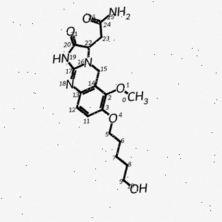 COc1c(OCCCCCO)ccc2c1CN1C(=N2)NC(=O)C1CC(N)=O